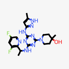 Cc1cc(Nc2nc(NC(C)c3ncc(F)cc3F)nc(N3CCC(C)(O)CC3)n2)n[nH]1